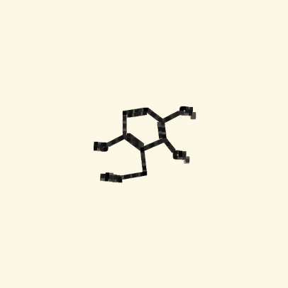 CCCCCCCc1c(O)ccc(C)c1C